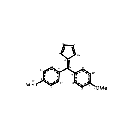 COc1ccc(C(=C2C=CC=C2)c2ccc(OC)cc2)cc1